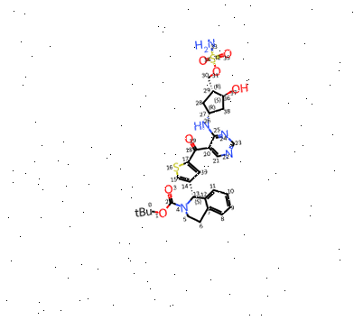 CC(C)(C)OC(=O)N1CCc2ccccc2[C@H]1c1csc(C(=O)c2cncnc2N[C@@H]2C[C@H](COS(N)(=O)=O)[C@@H](O)C2)c1